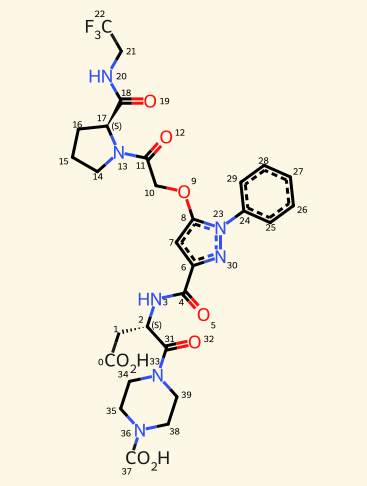 O=C(O)C[C@H](NC(=O)c1cc(OCC(=O)N2CCC[C@H]2C(=O)NCC(F)(F)F)n(-c2ccccc2)n1)C(=O)N1CCN(C(=O)O)CC1